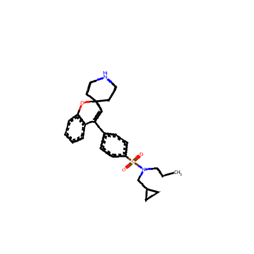 CCCN(CC1CC1)S(=O)(=O)c1ccc(C2=CC3(CCNCC3)Oc3ccccc32)cc1